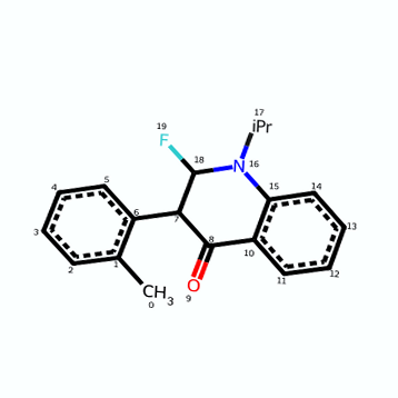 Cc1ccccc1C1C(=O)c2ccccc2N(C(C)C)C1F